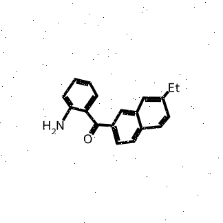 CCc1ccc2ccc(C(=O)c3ccccc3N)cc2c1